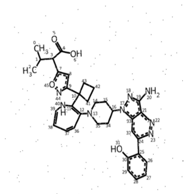 CC(C)C(C(=O)O)c1cc(C2(C3=C(N4CCC(n5nc(N)c6nnc(-c7ccccc7O)cc65)CC4)C=CC=CN3)CCC2)no1